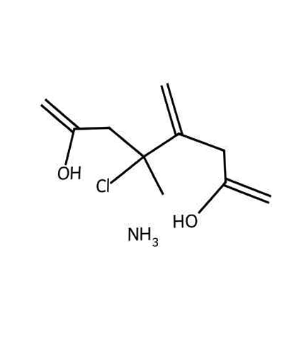 C=C(O)CC(=C)C(C)(Cl)CC(=C)O.N